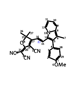 COc1ccc(-c2c(C)c3ccccn3c2/C=C/C2=C(C#N)C(=C(C#N)C#N)OC2(C)C)cc1